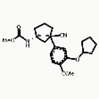 COC(=O)N[C@@H]1CCC[C@](C#N)(c2ccc(OC)c(OC3CCCC3)c2)C1